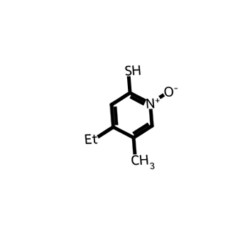 CCc1cc(S)[n+]([O-])cc1C